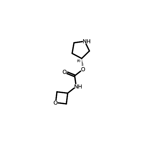 O=C(NC1COC1)O[C@@H]1CCNC1